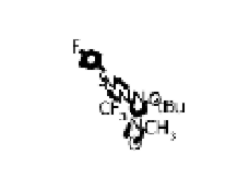 CC1COCCN1c1cc(OC(C)(C)C)nc(N2CCN(SCc3ccc(F)cc3)CC2C(F)(F)F)c1